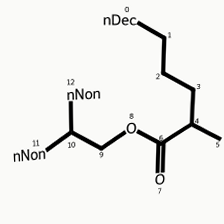 CCCCCCCCCCCCCC(C)C(=O)OCC(CCCCCCCCC)CCCCCCCCC